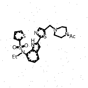 CCN(c1cccc2cc(-c3ncc(CN4CCN(C(C)=O)CC4)s3)[nH]c12)S(=O)(=O)c1cccs1